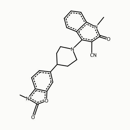 Cn1c(=O)oc2cc(C3CCN(c4c(C#N)c(=O)n(C)c5ccccc45)CC3)ccc21